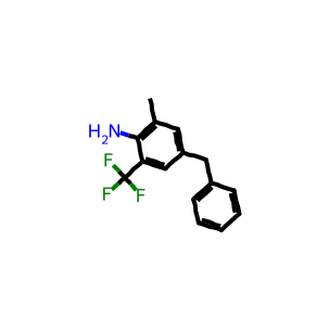 Cc1cc(Cc2ccccc2)cc(C(F)(F)F)c1N